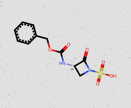 O=C(N[C@H]1CN(S(=O)(=O)O)C1=O)OCc1ccccc1